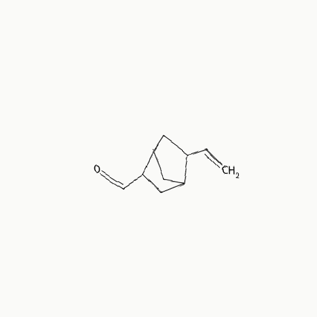 C=CC1C[C]2CC1CC2C=O